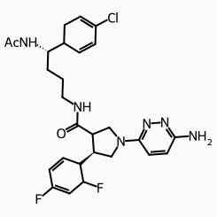 CC(=O)N[C@@H](CCCNC(=O)C1CN(c2ccc(N)nn2)C[C@H]1C1C=CC(F)=CC1F)C1C=CC(Cl)=CC1